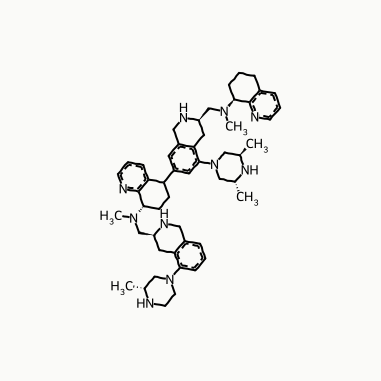 C[C@@H]1CN(c2cccc3c2C[C@@H](CN(C)[C@H]2CCC(c4cc5c(c(N6C[C@@H](C)N[C@H](C)C6)c4)C[C@H](CN(C)[C@H]4CCCc6cccnc64)NC5)c4cccnc42)NC3)CCN1